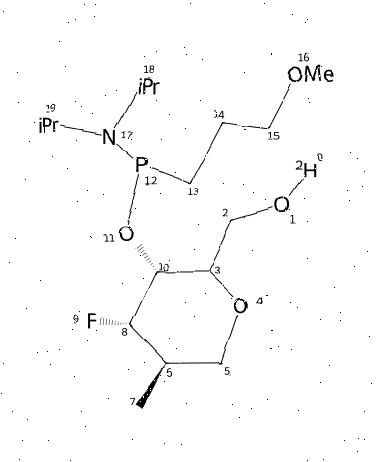 [2H]OCC1OC[C@@H](C)[C@H](F)[C@@H]1OP(CCCOC)N(C(C)C)C(C)C